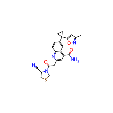 Cc1cc(C2(c3ccc4nc(CC(=O)N5CSCC5C#N)cc(C(N)=O)c4c3)CC2)on1